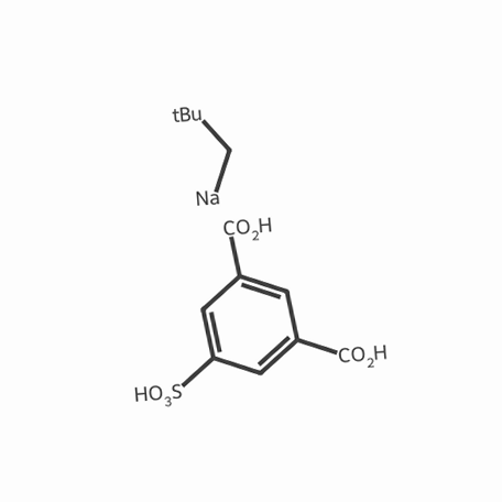 CC(C)(C)[CH2][Na].O=C(O)c1cc(C(=O)O)cc(S(=O)(=O)O)c1